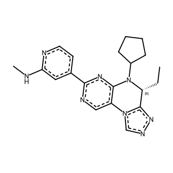 CC[C@@H]1c2nncn2-c2cnc(-c3ccnc(NC)c3)nc2N1C1CCCC1